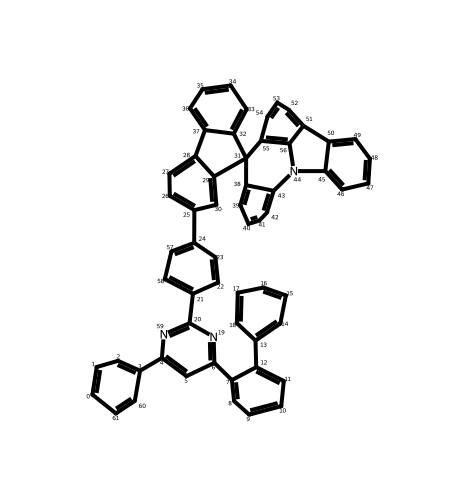 c1ccc(-c2cc(-c3ccccc3-c3ccccc3)nc(-c3ccc(-c4ccc5c(c4)C4(c6ccccc6-5)c5ccccc5-n5c6ccccc6c6cccc4c65)cc3)n2)cc1